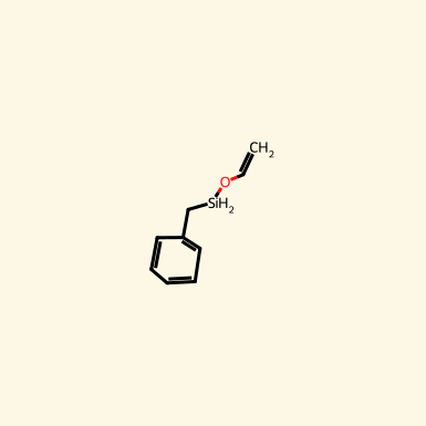 C=CO[SiH2]Cc1ccccc1